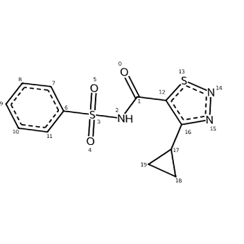 O=C(NS(=O)(=O)c1ccccc1)c1snnc1C1CC1